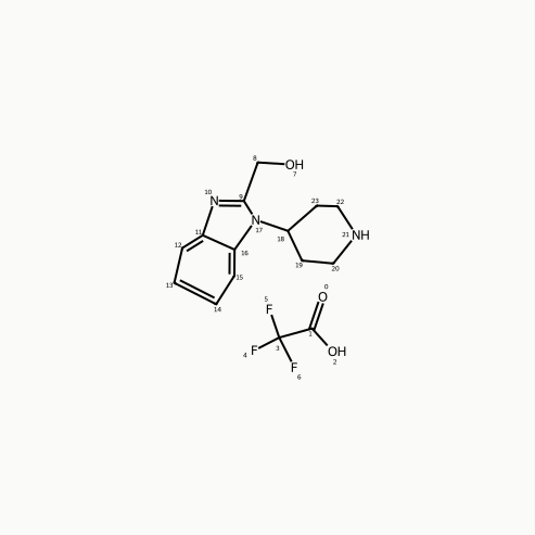 O=C(O)C(F)(F)F.OCc1nc2ccccc2n1C1CCNCC1